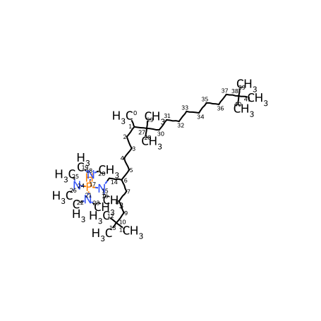 CC(CCCCC(CCCC(C)(C)C)CN(C)[PH](N(C)C)(N(C)C)N(C)C)C(C)(C)CCCCCCCCC(C)(C)C